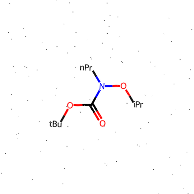 CCCN(OC(C)C)C(=O)OC(C)(C)C